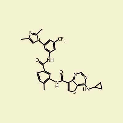 Cc1cn(-c2cc(NC(=O)c3ccc(C)c(NC(=O)c4csc5c(NC6CC6)ncnc45)c3)cc(C(F)(F)F)c2)c(C)n1